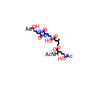 CC(=O)NC(CCCN(O)C(C)=O)C(=O)OCC/C(C)=C/C(=O)N(O)CCCC1NC(=O)C(CCCN(O)C(C)=O)NC1=O